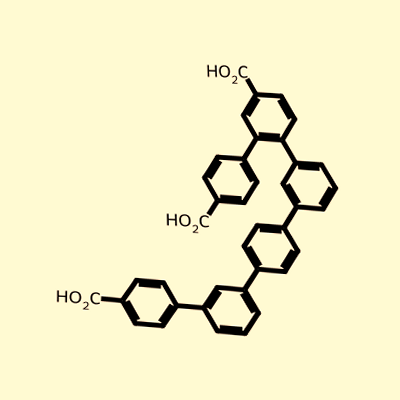 O=C(O)c1ccc(-c2cccc(-c3ccc(-c4cccc(-c5ccc(C(=O)O)cc5-c5ccc(C(=O)O)cc5)c4)cc3)c2)cc1